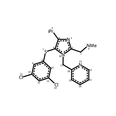 CNCc1nc(C(C)C)c(Sc2cc(Cl)cc(Cl)c2)n1Cc1ccccn1